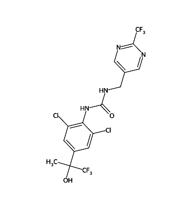 CC(O)(c1cc(Cl)c(NC(=O)NCc2cnc(C(F)(F)F)nc2)c(Cl)c1)C(F)(F)F